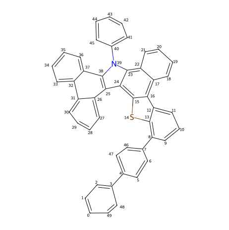 c1ccc(-c2ccc(-c3cccc4c3sc3c4c4ccccc4c4c3c3c5ccccc5c5ccccc5c3n4-c3ccccc3)cc2)cc1